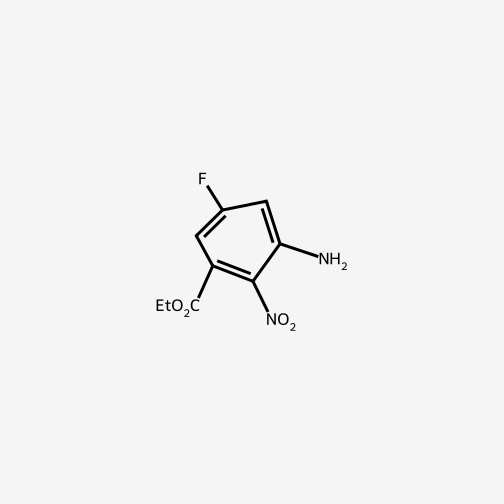 CCOC(=O)c1cc(F)cc(N)c1[N+](=O)[O-]